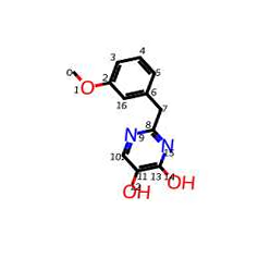 COc1cccc(Cc2n[c]c(O)c(O)n2)c1